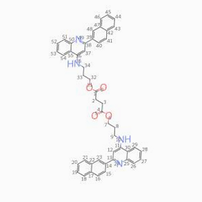 O=C(CCC(=O)OCCCNc1cc(-c2ccc3ccccc3c2)nc2ccccc12)OCCCNc1cc(-c2ccc3ccccc3c2)nc2ccccc12